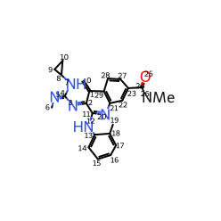 C=C1/C(=N\C(=N/C)NC2CC2)C(Nc2ccccc2C)=Nc2cc(C(=O)NC)ccc21